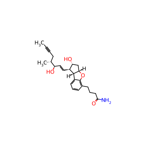 CC#CC[C@@H](C)[C@H](O)/C=C/[C@@H]1[C@H]2c3cccc(CCCC(N)=O)c3O[C@H]2C[C@H]1O